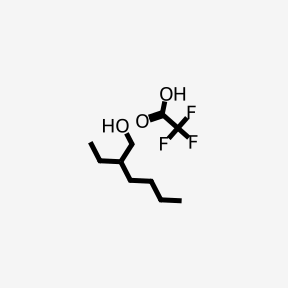 CCCCC(CC)CO.O=C(O)C(F)(F)F